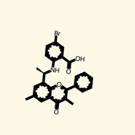 Cc1cc([C@@H](C)Nc2ccc(Br)cc2C(=O)O)c2oc(-c3ccccc3)c(C)c(=O)c2c1